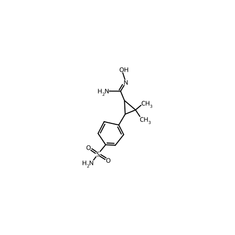 CC1(C)C(C(N)=NO)C1c1ccc(S(N)(=O)=O)cc1